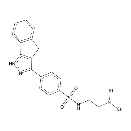 CCN(CC)CCNS(=O)(=O)c1ccc(-c2n[nH]c3c2Cc2ccccc2-3)cc1